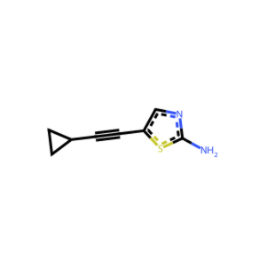 Nc1ncc(C#CC2CC2)s1